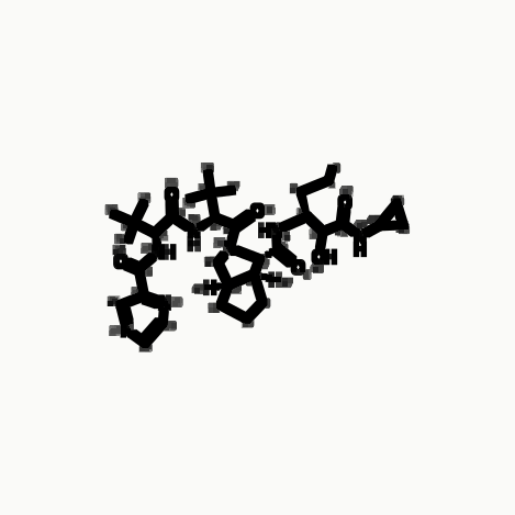 CCC[C@H](NC(=O)[C@@H]1[C@H]2CCC[C@H]2CN1C(=O)[C@@H](NC(=O)[C@@H](NC(=O)c1cnccn1)C(C)(C)C)C(C)(C)C)C(O)C(=O)NC1CC1